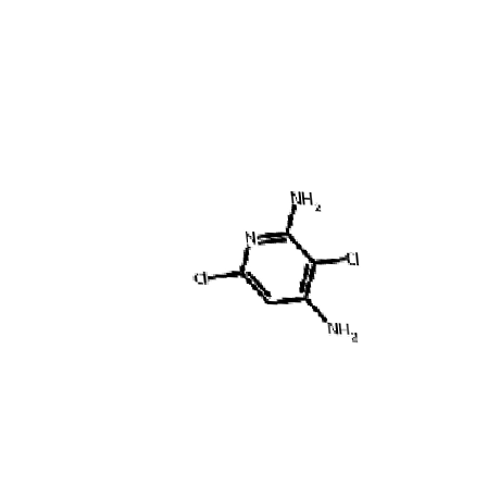 Nc1cc(Cl)nc(N)c1Cl